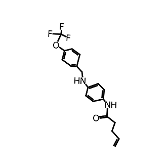 C=CCCC(=O)Nc1ccc(NCc2ccc(OC(F)(F)F)cc2)cc1